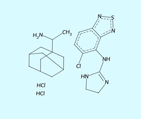 CC(N)C12CC3CC(CC(C3)C1)C2.Cl.Cl.Clc1ccc2nsnc2c1NC1=NCCN1